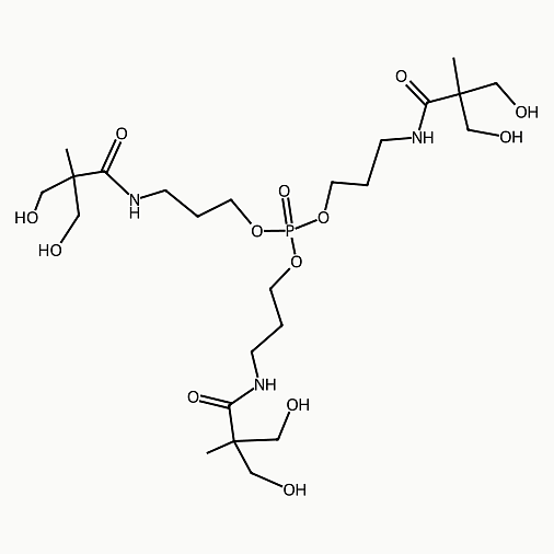 CC(CO)(CO)C(=O)NCCCOP(=O)(OCCCNC(=O)C(C)(CO)CO)OCCCNC(=O)C(C)(CO)CO